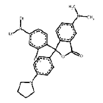 CCN(CC)c1ccc(C2(c3ccc(N4CCCC4)cc3)OC(=O)c3cc(N(C)C)ccc32)c(C)c1